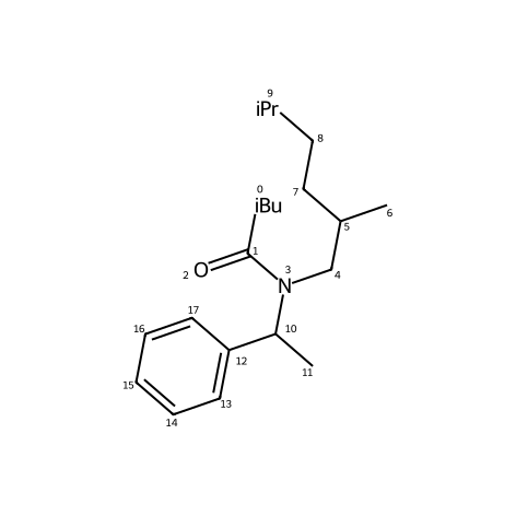 CCC(C)C(=O)N(CC(C)CCC(C)C)C(C)c1ccccc1